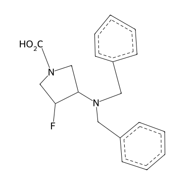 O=C(O)N1CC(F)C(N(Cc2ccccc2)Cc2ccccc2)C1